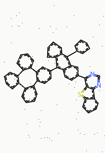 c1ccc(-c2c3ccccc3c(-c3ccc4c(c3)-c3ccccc3-c3ccccc3-c3ccccc3-4)c3ccc(-c4ncnc5c4sc4ccccc45)cc23)cc1